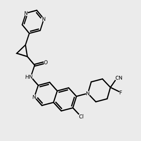 N#CC1(F)CCN(c2cc3cc(NC(=O)C4CC4c4cncnc4)ncc3cc2Cl)CC1